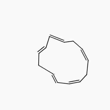 [C]1=C/C=C\C/C=C\C/C=C/C=C/C/1